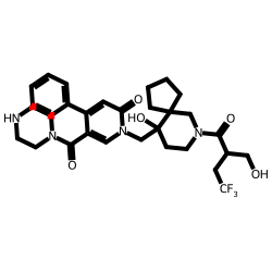 O=C(c1cn(CC2(O)CCN(C(=O)C(CO)CC(F)(F)F)CC23CCCC3)c(=O)cc1-c1ccccc1)N1CCNCC1